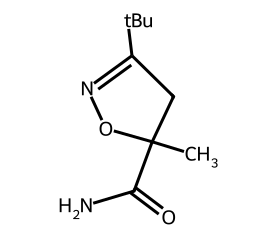 CC(C)(C)C1=NOC(C)(C(N)=O)C1